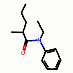 CCCC(C)C(=O)N(CC)c1ccccc1